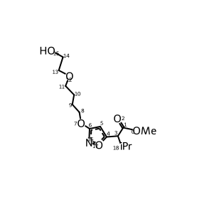 COC(=O)C(c1cc(OCCCCOCCO)no1)C(C)C